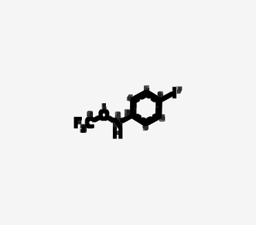 FC(F)(F)ONc1ccc(I)cc1